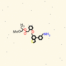 COCC(C)OC(=O)Cc1ccccc1OCc1cc(-c2cccc(CN)c2)c2ccsc2c1